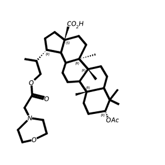 CC(=O)O[C@@H]1CC[C@@]2(C)C(CC[C@]3(C)C2CCC2C4[C@H](C(C)COC(=O)CN5CCOCC5)CC[C@]4(C(=O)O)CC[C@]23C)C1(C)C